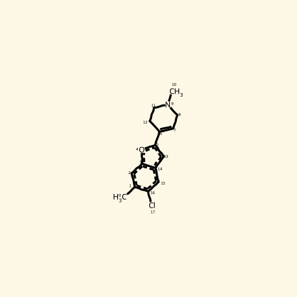 Cc1cc2oc(C3=CCN(C)CC3)cc2cc1Cl